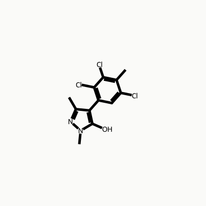 Cc1nn(C)c(O)c1-c1cc(Cl)c(C)c(Cl)c1Cl